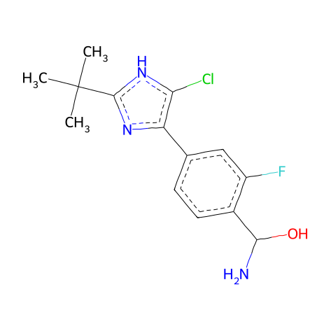 CC(C)(C)c1nc(-c2ccc(C(N)O)c(F)c2)c(Cl)[nH]1